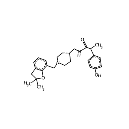 CC(C(=O)NCC1CCN(Cc2cccc3c2OC(C)(C)C3)CC1)c1ccc(O)cc1